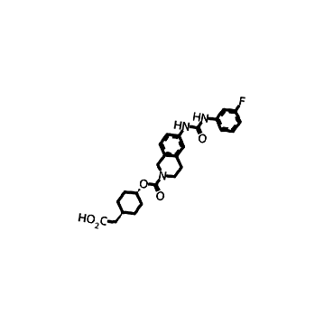 O=C(O)C[C@H]1CC[C@H](OC(=O)N2CCc3cc(NC(=O)Nc4cccc(F)c4)ccc3C2)CC1